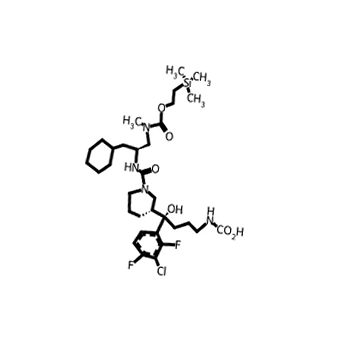 CN(C[C@H](CC1CCCCC1)NC(=O)N1CCC[C@@H]([C@@](O)(CCCNC(=O)O)c2ccc(F)c(Cl)c2F)C1)C(=O)OCC[Si](C)(C)C